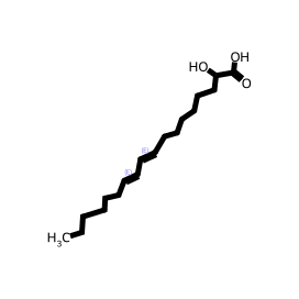 CCCCCC/C=C/C=C/CCCCCCC(O)C(=O)O